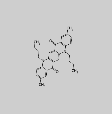 CCCCn1c2ccc(C)cc2c(=O)c2cc3c(cc21)c(=O)c1cc(C)ccc1n3CCCC